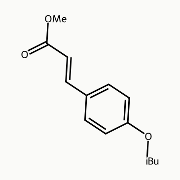 CCC(C)Oc1ccc(/C=C/C(=O)OC)cc1